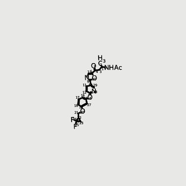 CC(=O)NC(C)CC(=O)c1cnc(-c2ccc(Oc3cccc(OCC4CC4(F)F)c3)nc2)o1